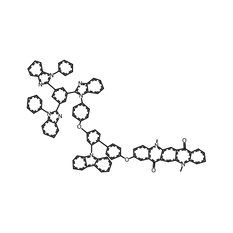 Cn1c2ccccc2c(=O)c2cc3c(cc21)c(=O)c1cc(Oc2ccc(-c4ccc(Oc5ccc(-n6c(-c7cc(-c8nc9ccccc9n8-c8ccccc8)cc(-c8nc9ccccc9n8-c8ccccc8)c7)nc7ccccc76)cc5)cc4-n4c5ccccc5c5ccccc54)cc2)ccc1n3C